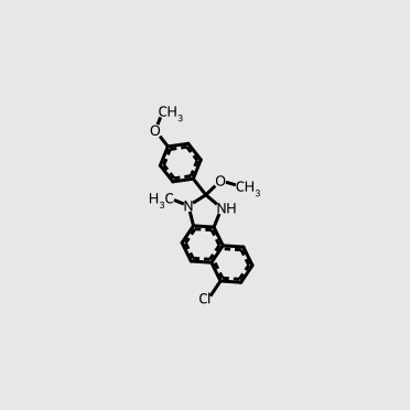 COc1ccc(C2(OC)Nc3c(ccc4c(Cl)cccc34)N2C)cc1